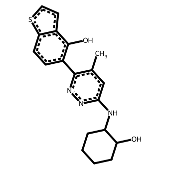 Cc1cc(NC2CCCCC2O)nnc1-c1ccc2sccc2c1O